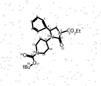 CCOC(=O)N1CC(c2ccccc2)N(C2CCN(C(=O)OC(C)(C)C)CC2)C1=O